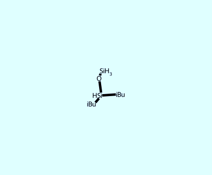 CCC(C)[SiH](O[SiH3])C(C)CC